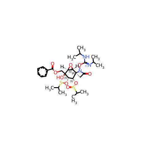 CC(C)/N=C(\NC(C)C)ON1C(=O)C[C@@]12[C@H](OS(=O)C(C)C)[C@H](OSC(C)C)[C@](O)(COC(=O)c1ccccc1)[C@H]1O[C@H]12